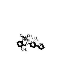 Cc1cccc(-n2[nH]n(C)c2=O)c1COc1ccc(-c2ccccn2)c(C)n1